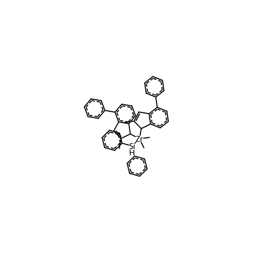 CC1=Cc2c(-c3ccccc3)cccc2[CH]1[Zr]([CH3])([CH3])([CH]1C(C)=Cc2c(-c3ccccc3)cccc21)[SiH](c1ccccc1)c1ccccc1